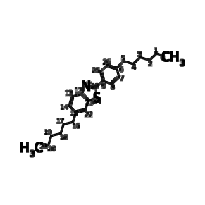 CCCCCCc1ccc(-c2nc3ccc(CCCCCC)cc3s2)cc1